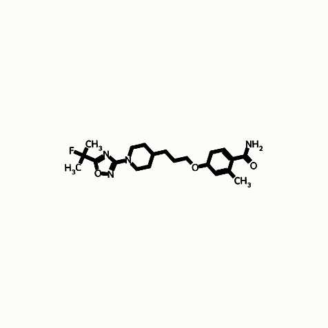 CC1=CC(OCCCC2CCN(c3noc(C(C)(C)F)n3)CC2)CC=C1C(N)=O